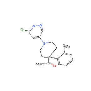 COC(=O)C1(c2ccccc2OC)CCN(c2cnnc(Cl)c2)CC1